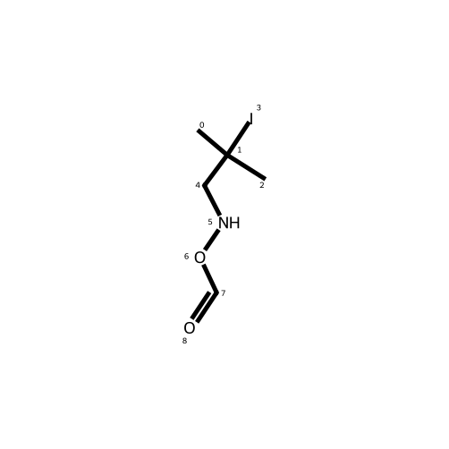 CC(C)(I)CNOC=O